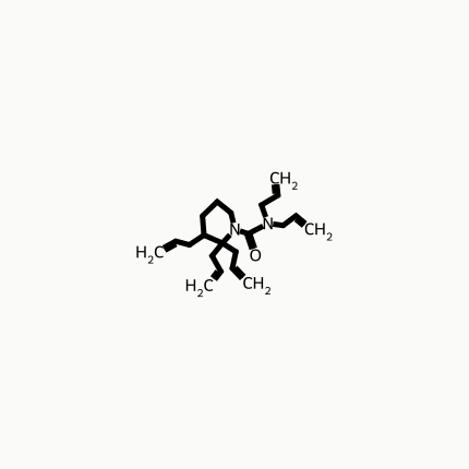 C=CCC1CCCN(C(=O)N(CC=C)CC=C)C1(CC=C)CC=C